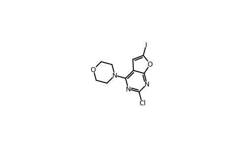 Clc1nc(N2CCOCC2)c2cc(I)oc2n1